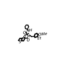 CCc1cc(CCN2C(=O)c3cc4sccc4n3CC2(C)C(=O)NC2CCCCC2)ccc1OC